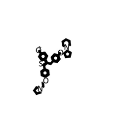 COc1ccc2c(Cc3ccc(O[C@H]4CCC[C@@H]4N4CCCCC4)cc3)c(-c3ccc(OCCN4CCCC4)cc3)sc2c1